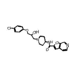 O=C(NC1CCN(CC(O)COc2ccc(Cl)cc2)CC1)c1cc2ccncc2o1